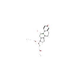 COC(=O)O[C@]1(C(=O)COC(=O)OC(C)C)[C@H](C)C[C@H]2[C@@H]3CCC4=CC(=O)C=C[C@]4(C)[C@@]3(F)[C@@H](O)C[C@@]21C